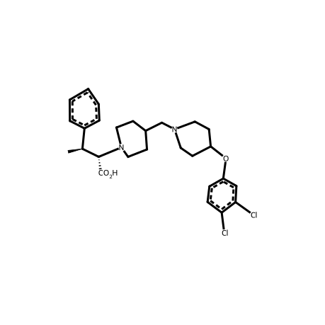 C[C@@H](c1ccccc1)[C@@H](C(=O)O)N1CCC(CN2CCC(Oc3ccc(Cl)c(Cl)c3)CC2)CC1